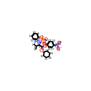 CC(C)[C@H](NP(=O)(Oc1ccccc1)Oc1ccc([N+](=O)[O-])cc1)C(=O)OC1CCCCC1